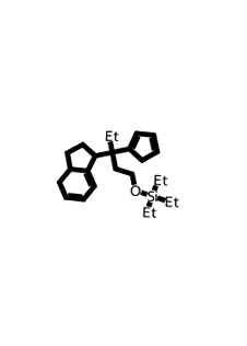 CCC(CCO[Si](CC)(CC)CC)(C1=CC=CC1)C1CCC2CC=CC=C21